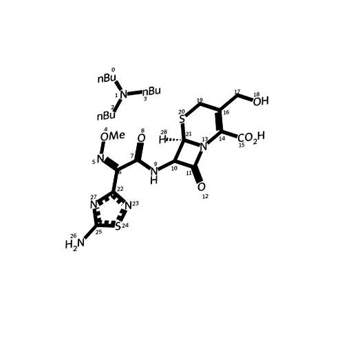 CCCCN(CCCC)CCCC.CO/N=C(\C(=O)NC1C(=O)N2C(C(=O)O)=C(CO)CS[C@H]12)c1nsc(N)n1